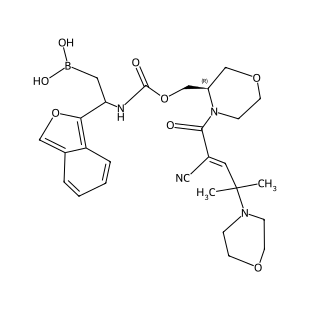 CC(C)(C=C(C#N)C(=O)N1CCOC[C@@H]1COC(=O)NC(CB(O)O)c1occ2ccccc12)N1CCOCC1